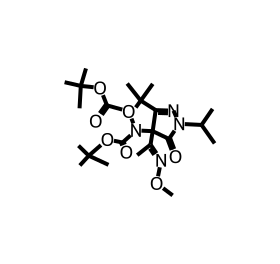 CON=C(C)C1(N(OC(=O)OC(C)(C)C)C(=O)OC(C)(C)C)C(=O)N(C(C)C)N=C1C(C)(C)C